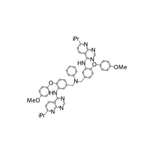 COc1ccc(Oc2ccc(CN(Cc3ccc(Oc4ccc(OC)cc4)c(Nc4ncnc5nc(C(C)C)ccc45)c3)c3ccccc3)cc2Nc2ncnc3nc(C(C)C)ccc23)cc1